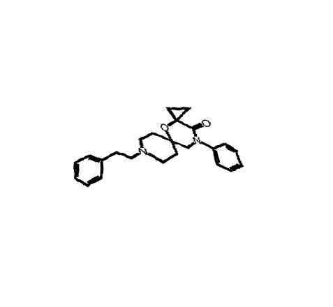 O=C1N(c2ccccc2)CC2(CCN(CCc3ccccc3)CC2)OC12CC2